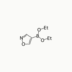 CCOB(OCC)c1cnoc1